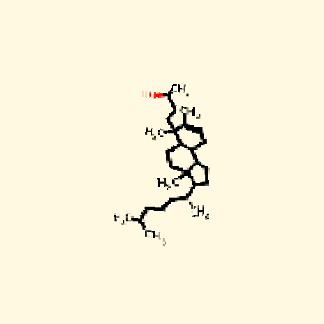 CC1=CCC2C(CCC3(C)C2CCC3[C@H](C)CCCC(C)C)C1(C)CCC(C)O